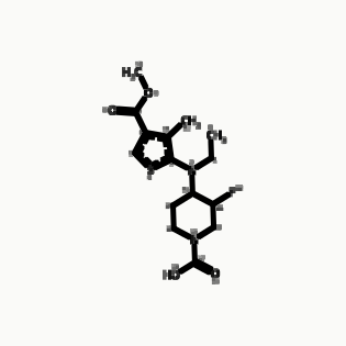 CCN(c1scc(C(=O)OC)c1C)C1CCN(C(=O)O)CC1F